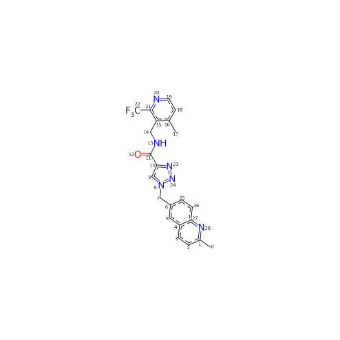 Cc1ccc2cc(Cn3cc(C(=O)NCc4c(C)ccnc4C(F)(F)F)nn3)ccc2n1